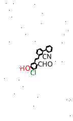 N#Cc1c(/C=C/c2cc(O)c(Cl)cc2C=O)cccc1-c1ccccc1